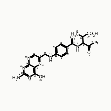 CC(C)C(=O)C(NC(=O)c1ccc(NCc2cnc3nc(N)nc(O)c3n2)cc1)C(C)C(=O)O